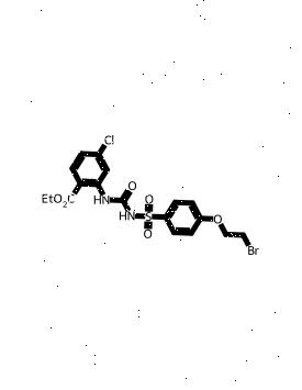 CCOC(=O)c1ccc(Cl)cc1NC(=O)NS(=O)(=O)c1ccc(OCCBr)cc1